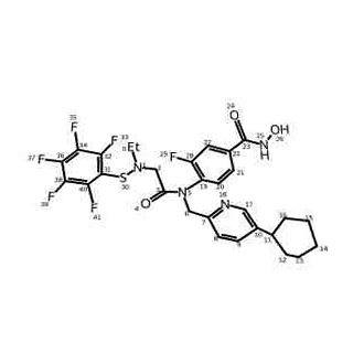 CCN(CC(=O)N(Cc1ccc(C2CCCCC2)cn1)c1ccc(C(=O)NO)cc1F)Sc1c(F)c(F)c(F)c(F)c1F